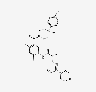 C=N/C(=N\C=C(/C)C(=O)Nc1cc(C(=O)N2CCC(F)(c3ccc(C#N)cc3)CC2)c(C)cc1C)N1CCOCC1